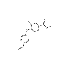 COC(=O)C1=CC=C(Oc2ccc(C=O)cc2)[C@H](C)C1